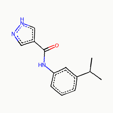 CC(C)c1cccc(NC(=O)c2cn[nH]c2)c1